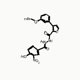 CCCCOc1cccc(-c2ccoc2C(=O)NNC(=O)c2ccc(O)c([N+](=O)[O-])c2)c1